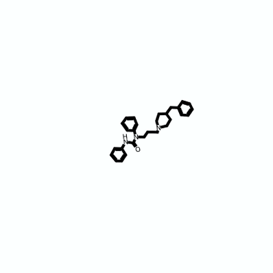 O=C(Nc1ccccc1)N(CCCN1CCC(Cc2ccccc2)CC1)c1ccccc1